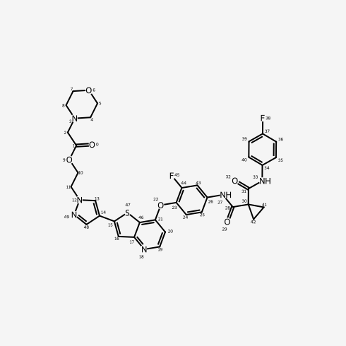 O=C(CN1CCOCC1)OCCn1cc(-c2cc3nccc(Oc4ccc(NC(=O)C5(C(=O)Nc6ccc(F)cc6)CC5)cc4F)c3s2)cn1